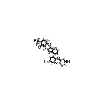 Cc1cc(Cl)cc(-c2ccnc3cc(Cn4c(=O)[nH]cc(C(F)(F)F)c4=O)sc23)c1O[C@H]1CCCNC1